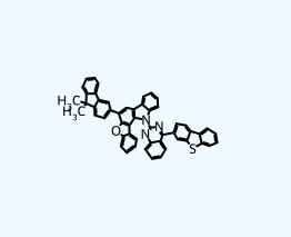 CC1(C)c2ccccc2-c2cc(-c3cc4c5ccccc5n(-c5nc(-c6ccc7c(c6)sc6ccccc67)c6ccccc6n5)c4c4c3oc3ccccc34)ccc21